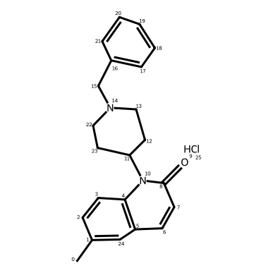 Cc1ccc2c(ccc(=O)n2C2CCN(Cc3ccccc3)CC2)c1.Cl